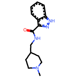 CN1CCC(CNC(=O)c2n[nH]c3ccccc23)CC1